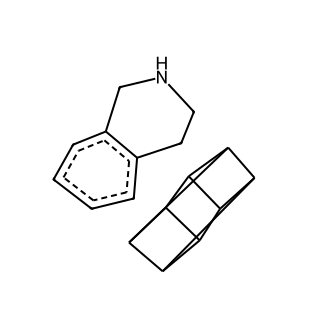 C12C3C4C1C1C2C3C41.c1ccc2c(c1)CCNC2